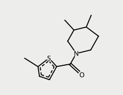 Cc1ccc(C(=O)N2CCC(C)C(C)C2)s1